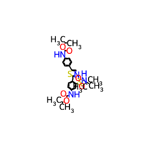 CC(C)OC(=O)Nc1ccc(-c2cnc(-c3ccc(NC(=O)OC(C)C)cc3S(=O)(=O)NC(C)(C)C)s2)cc1